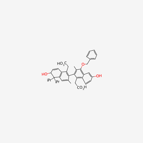 Cc1cc2c(c(CC(=O)O)c1-c1c(C)c(OCc3ccccc3)c3cc(O)ccc3c1CC(=O)O)C=CC(O)C2(C(C)C)C(C)C